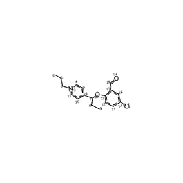 CCC[n+]1ccc(C(CC)Oc2ccc(Cl)cc2C=O)cc1